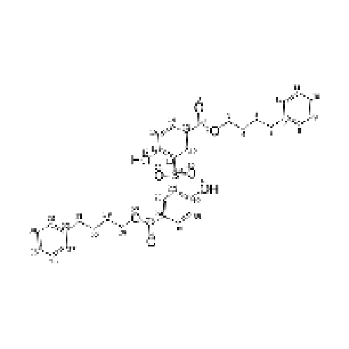 O=C(OCCCCc1ccccc1)c1ccc(O)c(S(=O)(=O)c2cc(C(=O)OCCCCc3ccccc3)ccc2O)c1